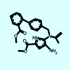 C=C(C)N(Cc1ccc(-c2ccccc2C(=O)OC)cc1)c1[nH]c(C(=O)OC)cc1N